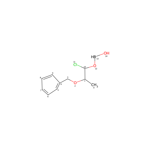 CC(OCc1ccccc1)C(Cl)OBO